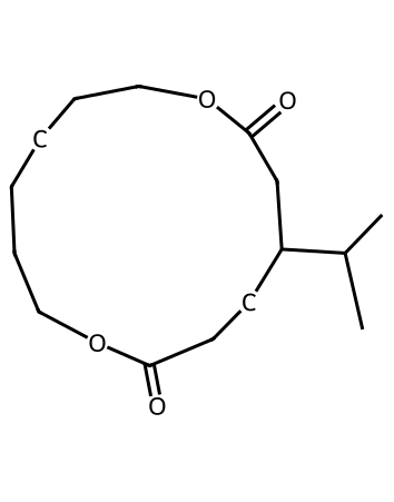 CC(C)C1CCC(=O)OCCCCCCOC(=O)C1